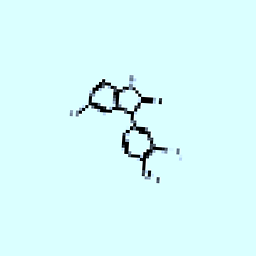 Cc1ccc(C2C(=O)Nc3ccc(Cl)cc32)cc1C